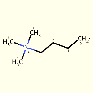 [CH2]CCC[N+](C)(C)C